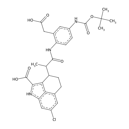 CC(C(=O)Nc1ccc(NC(=O)OC(C)(C)C)cc1CC(=O)O)C1CCc2cc(Cl)cc3[nH]c(C(=O)O)c1c23